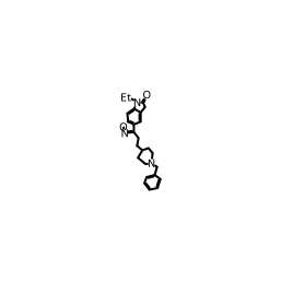 CCN1C(=O)Cc2cc3c(CCC4CCN(Cc5ccccc5)CC4)noc3cc21